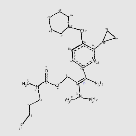 CN(CCCF)C(=O)OC/C(=C(/N)c1ccc(OC2CCCCC2)c(C2CC2)n1)N(C)N